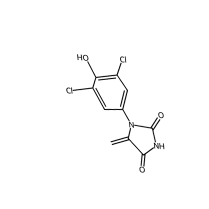 C=C1C(=O)NC(=O)N1c1cc(Cl)c(O)c(Cl)c1